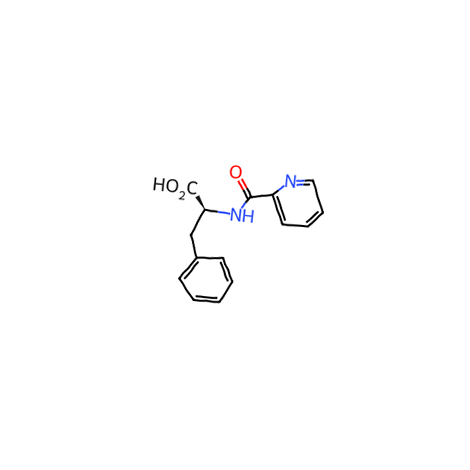 O=C(N[C@@H](Cc1ccccc1)C(=O)O)c1ccccn1